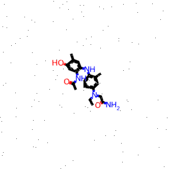 CCN(CC(N)=O)c1ccc(Nc2cc(C)c(O)cc2NC(C)=O)c(C)c1